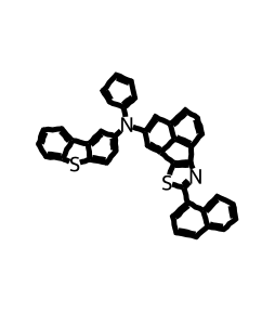 c1ccc(N(c2cc3c4c(cccc4c2)-c2nc(-c4cccc5ccccc45)sc2-3)c2ccc3sc4ccccc4c3c2)cc1